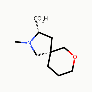 CN1C[C@]2(CCCOC2)C[C@H]1C(=O)O